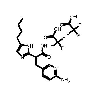 CCCCc1cnc(C(Cc2ccc(N)nc2)C(=O)O)[nH]1.O=C(O)C(F)(F)F.O=C(O)C(F)(F)F